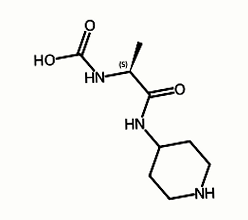 C[C@H](NC(=O)O)C(=O)NC1CCNCC1